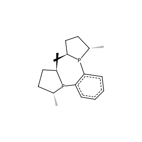 C[C@@H]1CC[C@@H](C)P1c1ccccc1P1[C@@H](C)CC[C@@H]1C